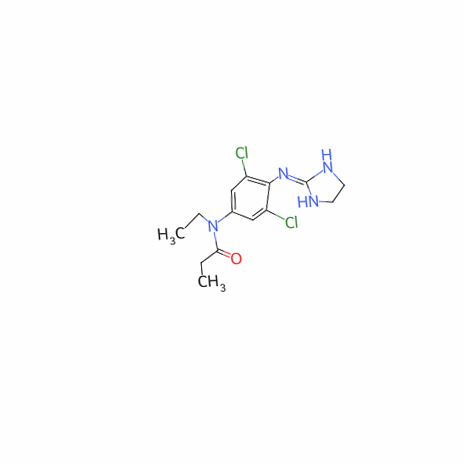 CCC(=O)N(CC)c1cc(Cl)c(N=C2NCCN2)c(Cl)c1